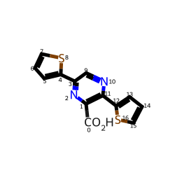 O=C(O)c1nc(-c2cccs2)cnc1-c1cccs1